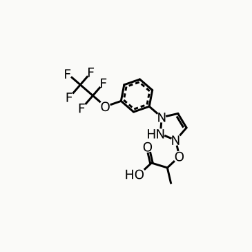 CC(ON1C=CN(c2cccc(OC(F)(F)C(F)(F)F)c2)N1)C(=O)O